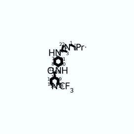 C[C](C)CN1CC(Nc2ccc(NC(=O)c3ccnc(C(F)(F)F)c3)cc2)C1